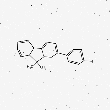 CC1(C)C2CC(c3ccc(I)cc3)=CC=C2C2C=CC=CC21